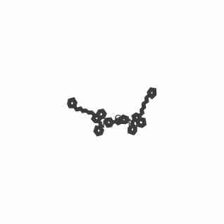 C(=C\C=C\c1ccc(N(c2ccccc2)c2ccc(-c3cc4cc(N(c5ccccc5)c5ccc(/C=C/C=C/C=C/c6ccccc6)c6ccccc56)ccc4o3)cc2)c2ccccc12)/C=C/c1ccccc1